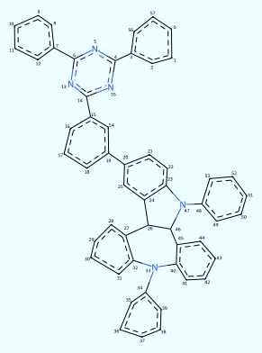 c1ccc(-c2nc(-c3ccccc3)nc(-c3cccc(-c4ccc5c(c4)C4c6ccccc6N(c6ccccc6)c6ccccc6C4N5c4ccccc4)c3)n2)cc1